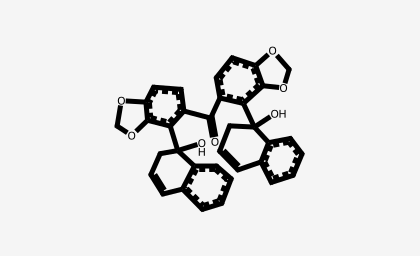 O=C(c1ccc2c(c1C1(O)CC=Cc3ccccc31)OCO2)c1ccc2c(c1C1(O)CC=Cc3ccccc31)OCO2